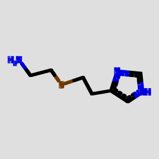 NCCSCCc1c[nH]cn1